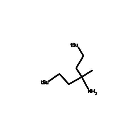 CC(C)(C)CCC(C)(N)CCC(C)(C)C